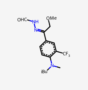 CCC(C)N(C)c1ccc(/C(COC)=N/NC=O)cc1C(F)(F)F